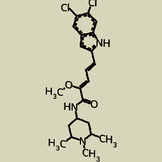 CO/C(=C\C=C\c1cc2cc(Cl)c(Cl)cc2[nH]1)C(=O)NC1CC(C)N(C)C(C)C1